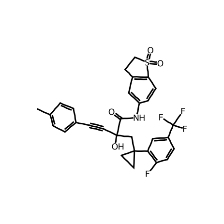 Cc1ccc(C#CC(O)(CC2(c3cc(C(F)(F)F)ccc3F)CC2)C(=O)Nc2ccc3c(c2)CCS3(=O)=O)cc1